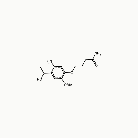 COc1cc(C(C)O)c([N+](=O)[O-])cc1OCCCC(N)=O